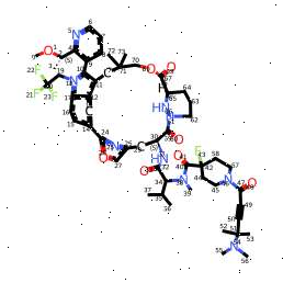 CO[C@@H](C)c1ncccc1-c1c2c3cc(ccc3n1CC(F)(F)F)-c1nc(co1)C[C@H](NC(=O)C(C(C)C)N(C)C(=O)C1(F)CCN(C(=O)C#CC(C)(C)N(C)C)CC1)C(=O)N1CCC[C@H](N1)C(=O)OCC(C)(C)C2